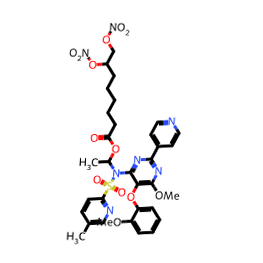 COc1ccccc1Oc1c(OC)nc(-c2ccncc2)nc1N(C(C)OC(=O)CCCCCC(CO[N+](=O)[O-])O[N+](=O)[O-])S(=O)(=O)c1ccc(C)cn1